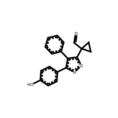 O=[C]C1(c2onc(-c3ccc(O)cc3)c2-c2ccccc2)CC1